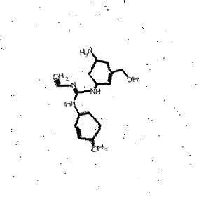 C=C/N=C(\NC1C=CC(C)CC1)NC1C=C(CO)CC(N)C1